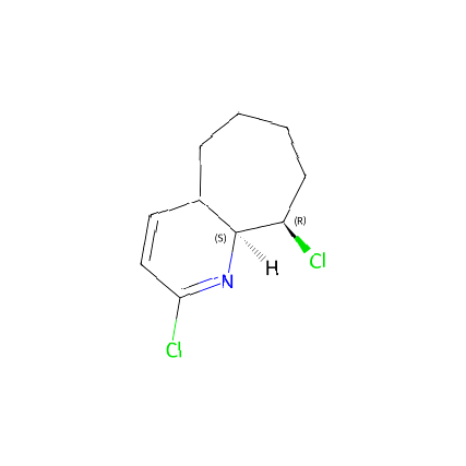 ClC1=N[C@H]2C(C=C1)CCCC[C@H]2Cl